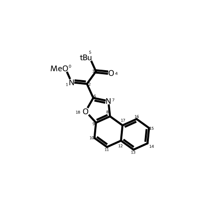 CO/N=C(\C(=O)C(C)(C)C)c1nc2c(ccc3ccccc32)o1